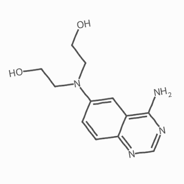 Nc1ncnc2ccc(N(CCO)CCO)cc12